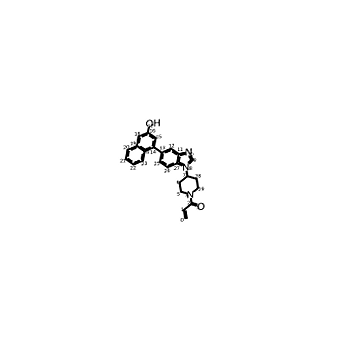 C=CC(=O)N1CCC(n2cnc3cc(-c4cc(O)cc5ccccc45)ccc32)CC1